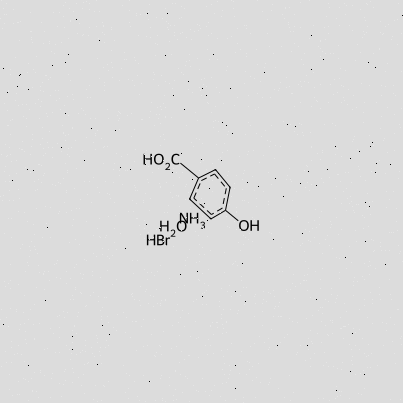 Br.N.O.O=C(O)c1ccc(O)cc1